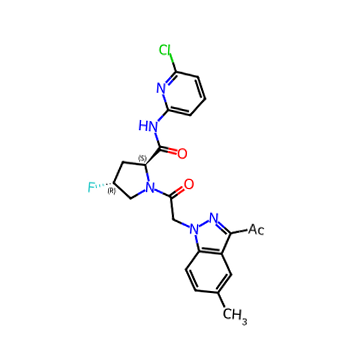 CC(=O)c1nn(CC(=O)N2C[C@H](F)C[C@H]2C(=O)Nc2cccc(Cl)n2)c2ccc(C)cc12